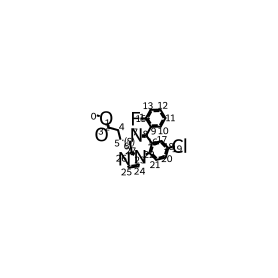 COC(=O)CC[C@@H]1N=C(c2ccccc2F)c2cc(Cl)ccc2-n2ccnc21